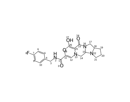 O=C(NCc1ccc(F)cc1)C1=CN2CC3N(CC4CCCN43)C(=O)C2=C(O)O1